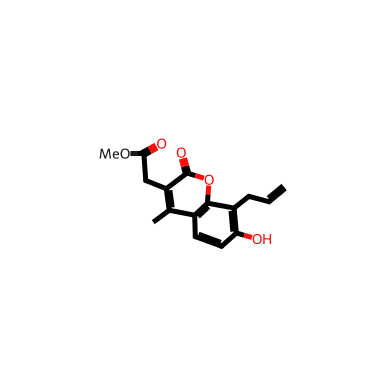 C=CCc1c(O)ccc2c(C)c(CC(=O)OC)c(=O)oc12